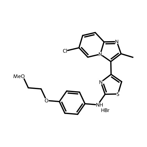 Br.COCCOc1ccc(Nc2nc(-c3c(C)nc4ccc(Cl)cn34)cs2)cc1